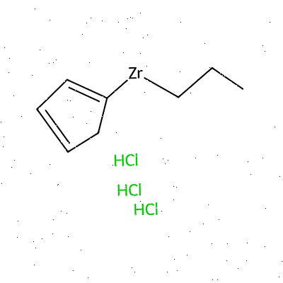 CC[CH2][Zr][C]1=CC=CC1.Cl.Cl.Cl